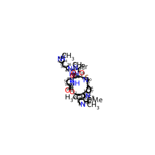 CCn1c(-c2cccnc2[C@H](C)OC)c2c3cc(ccc31)-c1csc(n1)C[C@H](NC(=O)C(C(C)C)N(C)C(=O)N1CC(Cc3cnn(C)c3)C1)C(=O)N1CCC[C@H](N1)C(=O)OCC(C)(C)C2